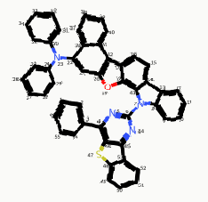 c1ccc(-c2nc(-n3c4ccccc4c4ccc5c(oc6cc(N(c7ccccc7)c7ccccc7)c7ccccc7c65)c43)nc3c2sc2ccccc23)cc1